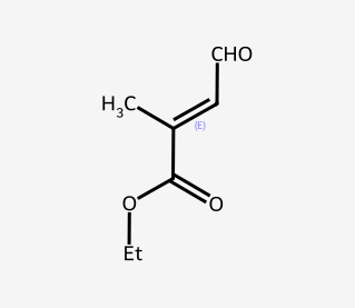 CCOC(=O)/C(C)=C/C=O